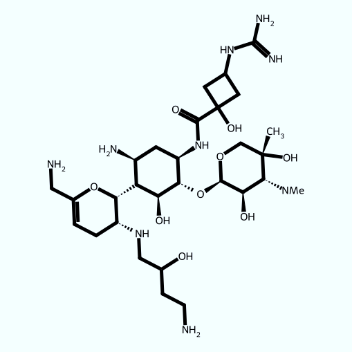 CN[C@@H]1[C@@H](O)[C@@H](O[C@H]2[C@H](NC(=O)C3(O)CC(NC(=N)N)C3)C[C@H](N)C([C@H]3OC(CN)=CC[C@H]3NCC(O)CCN)[C@@H]2O)OC[C@]1(C)O